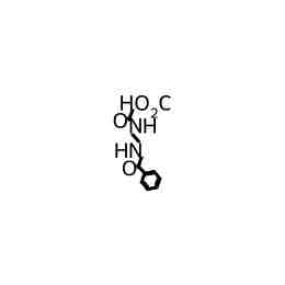 O=C(O)CC(=O)NCCNCC(=O)c1ccccc1